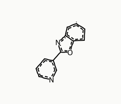 [c]1ccc2oc(-c3cccnc3)nc2c1